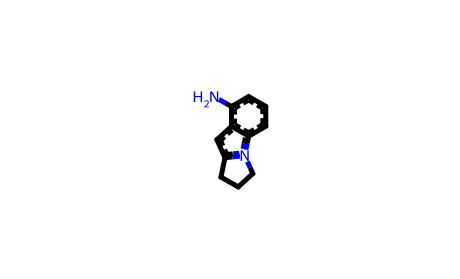 Nc1cccc2c1cc1n2CCC1